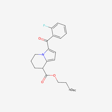 CCCCCCCCCCCCOC(=O)C1CCCn2c(C(=O)c3ccccc3F)ccc21